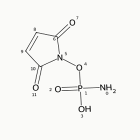 NP(=O)(O)ON1C(=O)C=CC1=O